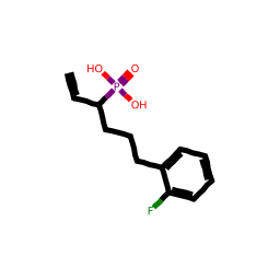 C=CC(CCCc1ccccc1F)P(=O)(O)O